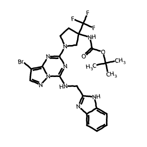 CC(C)(C)OC(=O)NC1(C(F)(F)F)CCN(c2nc(NCc3nc4ccccc4[nH]3)n3ncc(Br)c3n2)C1